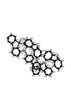 CC1(C)c2ccccc2-c2cccc(N(c3ccc(-c4ccccc4)cc3)c3cccc4oc5ccc(-c6cccc7c8ccccc8n(-c8cccc9oc%10ccccc%10c89)c67)cc5c34)c21